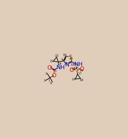 CC(C)(C)OC(=O)NC1(c2csc(NS(=O)(=O)C3CC3)n2)CC1